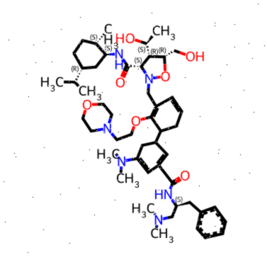 CC(C)[C@@H]1CC[C@H](C)[C@@H](NC(=O)[C@@H]2[C@H]([C@H](C)O)[C@H](CO)ON2CC2=C(OCCN3CCOCC3)C(C3C=C(C(=O)N[C@@H](Cc4ccccc4)CN(C)C)C=C(N(C)C)C3)CC=C2)C1